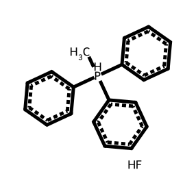 C[PH](c1ccccc1)(c1ccccc1)c1ccccc1.F